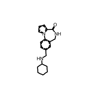 O=C1NCc2cc(CNC3CCCCC3)ccc2-n2cccc21